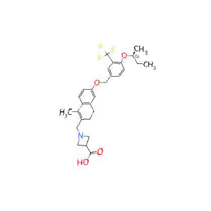 CC[C@H](C)Oc1ccc(COc2ccc3c(c2)CCC(CN2CC(C(=O)O)C2)=C3C)cc1C(F)(F)F